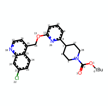 CC(C)(C)OC(=O)N1CCC(c2cccc(OCc3ccnc4cc(Cl)ccc34)n2)CC1